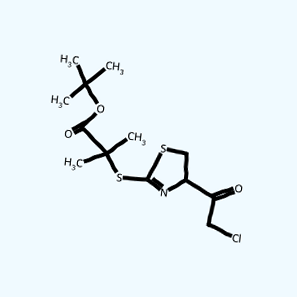 CC(C)(C)OC(=O)C(C)(C)SC1=NC(C(=O)CCl)CS1